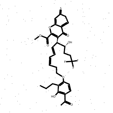 CCCc1c(OCC/C=C\C=C\[C@@H](c2c(C(=O)OC)oc3c(c2=O)=CCC(=S)C=3)[C@H](O)CCC(F)(F)F)ccc(C(C)=O)c1O